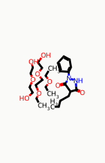 CCCCC1C(=O)NN(c2ccccc2)C1=O.CCOCC.CCOCCOCCO.OCCOCCO